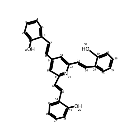 Oc1ccccc1/C=C/c1cc(/C=C/c2ccccc2O)nc(/C=C/c2ccccc2O)c1